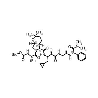 CN(C)C(=O)[C@@H](NC(=O)CNC(=O)C(=O)C(CC1CC1)NC(=O)[C@@H]1[C@H]2CCC(C)(C)O[C@H]2CN1C(=O)[C@@H](NC(=O)OC(C)(C)C)C(C)(C)C)c1ccccc1